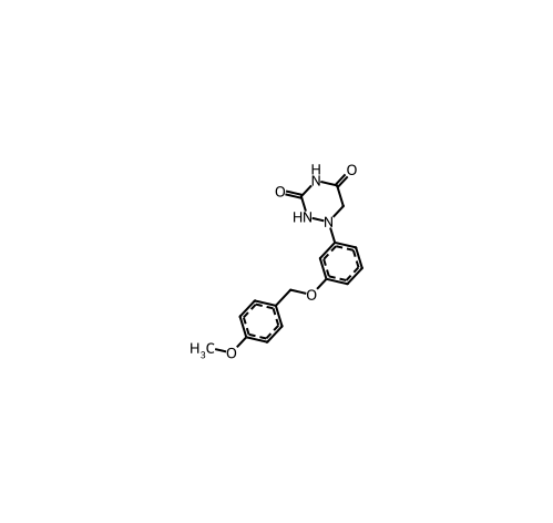 COc1ccc(COc2cccc(N3CC(=O)NC(=O)N3)c2)cc1